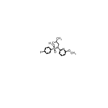 COc1cccc(N(CC(C)C)S(=O)(=O)c2ccc(F)cc2)n1